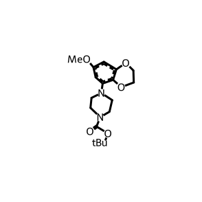 COc1cc2c(c(N3CCN(C(=O)OC(C)(C)C)CC3)c1)OCCO2